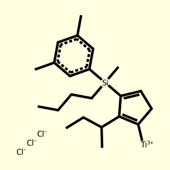 CCCC[Si](C)(C1=CC[C]([Ti+3])=C1C(C)CC)c1cc(C)cc(C)c1.[Cl-].[Cl-].[Cl-]